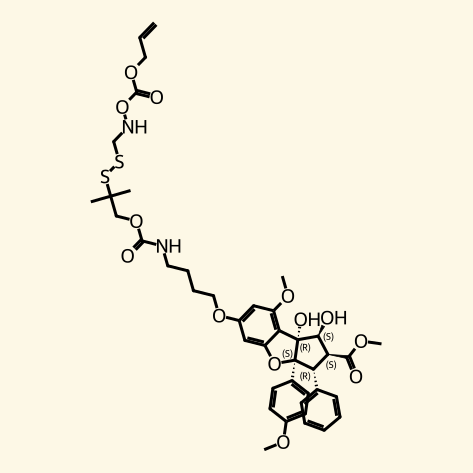 C=CCOC(=O)ONCSSC(C)(C)COC(=O)NCCCCOc1cc(OC)c2c(c1)O[C@]1(c3ccc(OC)cc3)[C@@H](c3ccccc3)[C@H](C(=O)OC)[C@H](O)[C@]21O